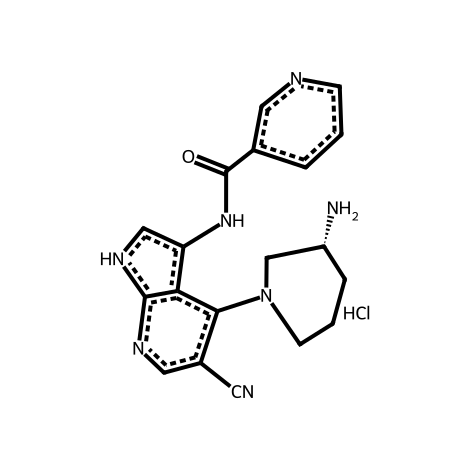 Cl.N#Cc1cnc2[nH]cc(NC(=O)c3cccnc3)c2c1N1CCC[C@@H](N)C1